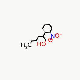 CCCC[C@H](CO)[C@@H]1CCCC[C@@H]1[N+](=O)[O-]